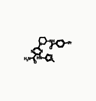 CC(C)c1ccc(C(=O)N[C@@H]2CCCN(c3cnc(C(N)=O)c(Nc4cnn(C)c4)n3)C2)cc1